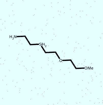 COCCOCC[SiH2]CCN